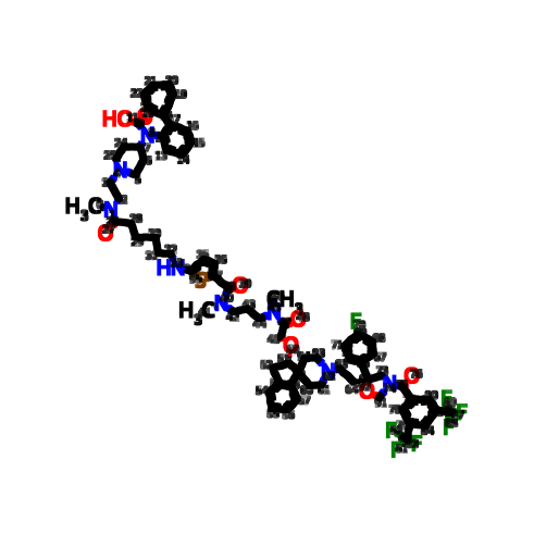 CN(CCN1CCC(N(C(=O)O)c2ccccc2-c2ccccc2)CC1)C(=O)CCCCCNc1ccc(C(=O)N(C)CCCN(C)C(=O)CO[C@H]2Cc3ccccc3C23CCN(CC[C@@]2(c4ccc(F)cc4)CN(C(=O)c4cc(C(F)(F)F)cc(C(F)(F)F)c4)CO2)CC3)s1